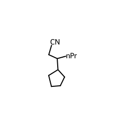 CCCC(CC#N)C1CCCC1